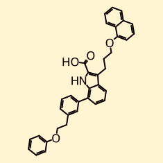 O=C(O)c1[nH]c2c(-c3cccc(CCOc4ccccc4)c3)cccc2c1CCCOc1cccc2ccccc12